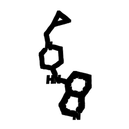 c1cc(NC2CCN(CC3CC3)CC2)c2ccncc2c1